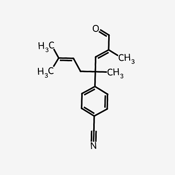 CC(C)=CCC(C)(/C=C(\C)C=O)c1ccc(C#N)cc1